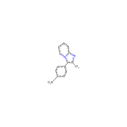 O=[N+]([O-])c1ccc(-c2c(C(F)(F)F)nc3ccccn23)cc1